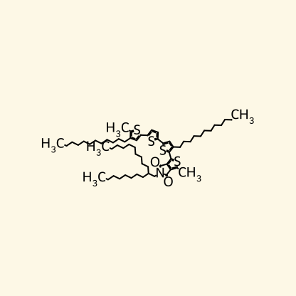 CCCCCCCCCCCCc1cc(-c2ccc(-c3cc(CCCCCCCCCCCC)c(-c4sc(C)c5c4C(=O)N(CC(CCCCCCCC)CCCCCCCCCC)C5=O)s3)s2)sc1C